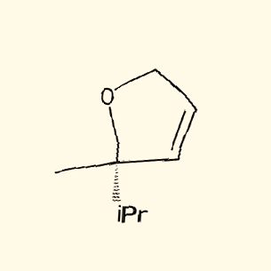 CC(C)[C@@]1(C)C=CCO1